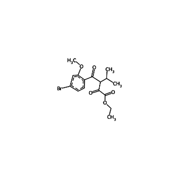 CCOC(=O)C(=O)C(C(=O)c1ccc(Br)cc1OC)C(C)C